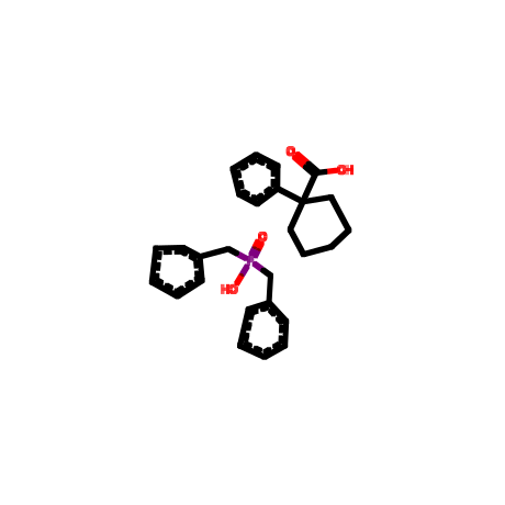 O=C(O)C1(c2ccccc2)CCCCC1.O=P(O)(Cc1ccccc1)Cc1ccccc1